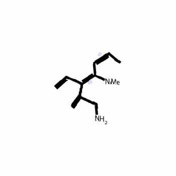 C=C/C(C(=C)CN)=C(\C=C/C)NC